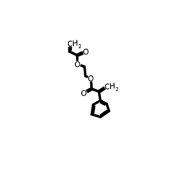 C=CC(=O)OCCOC(=O)C(=C)c1ccccc1